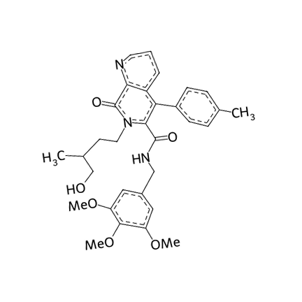 COc1cc(CNC(=O)c2c(-c3ccc(C)cc3)c3cccnc3c(=O)n2CCC(C)CO)cc(OC)c1OC